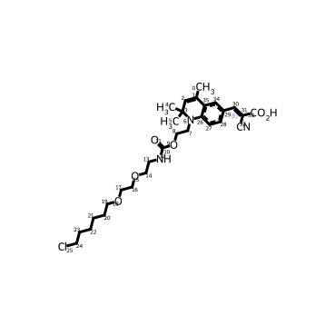 CC1=CC(C)(C)N(CCOC(=O)NCCOCCOCCCCCCCl)c2ccc(/C=C(\C#N)C(=O)O)cc21